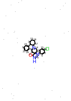 O=C1NCN(c2ccc(Cl)cc2)C12CCN([C@@H]1CCCC[C@@H]1c1ccccc1)CC2